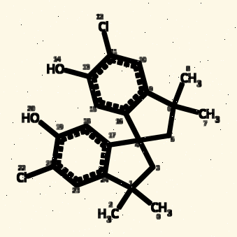 CC1(C)CC2(CC(C)(C)c3cc(Cl)c(O)cc32)c2cc(O)c(Cl)cc21